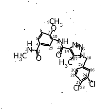 CNC(=O)c1ccc(OC)c(NC(=O)c2nnn(Cc3ccc(Cl)c(Cl)c3)c2C)c1